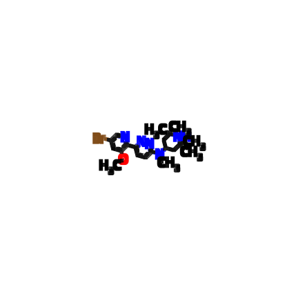 COc1cc(Br)cnc1-c1ccc(N(C)C2CC(C)(C)NC(C)(C)C2)nn1